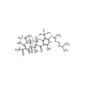 CC(C)OCCN(C)Cc1cc(O)c2c(c1C(F)(F)F)C[C@H]1C[C@H]3[C@H](N(C)C)C(O)=C(C(N)=O)C(=O)[C@@]3(O)C(O)=C1C2=O